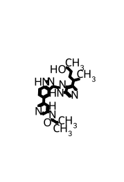 CCC(CCC(C)O)c1cncc2[nH]c(-c3n[nH]c4ccc(-c5cncc(NC(=O)C(C)C)c5)cc34)nc12